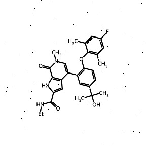 CCNC(=O)c1cc2c(-c3cc(C(C)(C)O)ccc3Oc3c(C)cc(F)cc3C)cn(C)c(=O)c2[nH]1